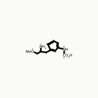 COCC(N)Cc1cccc(NC(=O)O)c1